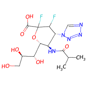 CC(C)C(=O)N[C@H]1[C@H]([C@H](O)[C@H](O)CO)OC(F)(C(=O)O)C(F)[C@@H]1n1cnnn1